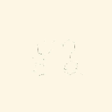 Cc1cccc(C2=CCNC(CC3CCc4[nH]c5ccccc5c4C3)C2)c1